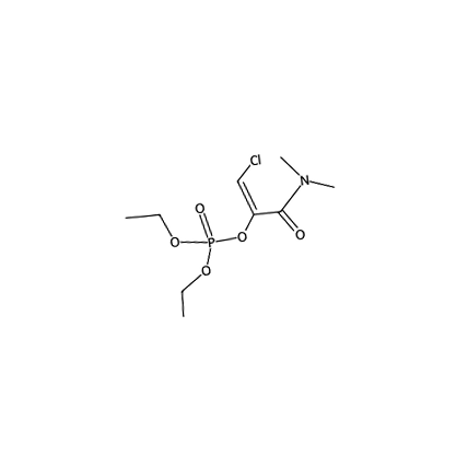 CCOP(=O)(OCC)OC(=CCl)C(=O)N(C)C